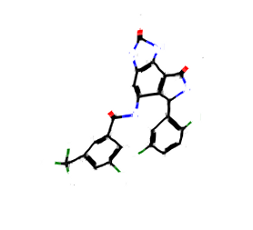 O=C(Nc1cc2[nH]c(=O)[nH]c2c2c1C(c1cc(F)ccc1Cl)NC2=O)c1cc(F)cc(C(F)(F)F)c1